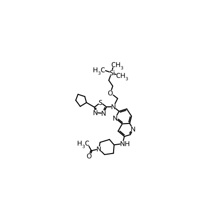 CC(=O)N1CCC(Nc2cnc3ccc(N(COCC[Si](C)(C)C)c4nnc(C5CCCC5)s4)nc3c2)CC1